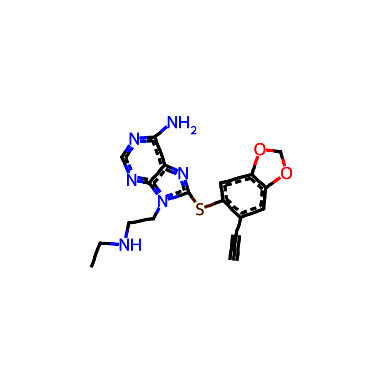 C#Cc1cc2c(cc1Sc1nc3c(N)ncnc3n1CCNCC)OCO2